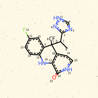 CC(c1nc[nH]n1)C1(C(F)(F)F)c2cc(F)ccc2Nc2c1cc[nH]c2=O